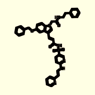 O=C(C=Cc1cn(CC(=O)NCCc2ccccc2)c2ccc(OCc3ccccc3)cc12)NS(=O)(=O)c1ccc(NC=Cc2ccccn2)nc1